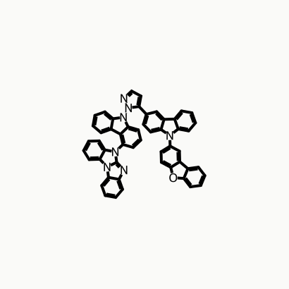 c1ccc2c(c1)nc1n(-c3cccc4c3c3ccccc3n4-n3nccc3-c3ccc4c(c3)c3ccccc3n4-c3ccc4oc5ccccc5c4c3)c3ccccc3n21